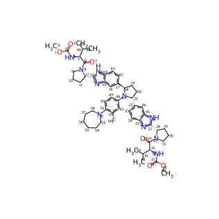 COC(=O)N[C@H](C(=O)N1CCC[C@H]1c1nc2cc([C@H]3CC[C@H](c4ccc5nc([C@@H]6CCCN6C(=O)[C@@H](NC(=O)OC)C(C)C)[nH]c5c4)N3c3ccc(N4CCCCCC4)c(F)c3)ccc2[nH]1)C(C)C